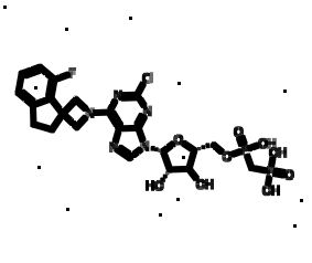 O=P(O)(O)CP(=O)(O)OC[C@H]1O[C@@H](n2cnc3c(N4CC5(CCc6cccc(F)c65)C4)nc(Cl)nc32)[C@@H](O)C1O